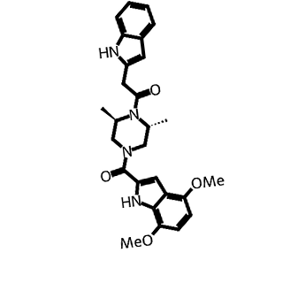 COc1ccc(OC)c2[nH]c(C(=O)N3C[C@@H](C)N(C(=O)Cc4cc5ccccc5[nH]4)[C@H](C)C3)cc12